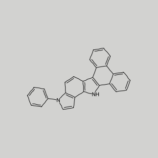 c1ccc(-n2ccc3c4[nH]c5c6ccccc6c6ccccc6c5c4ccc32)cc1